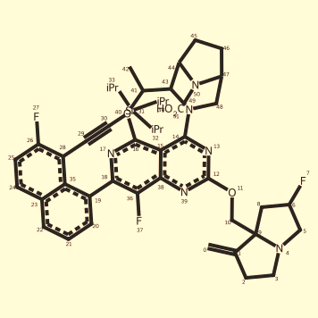 C=C1CCN2CC(F)CC12COc1nc2c3c(nc(-c4cccc5ccc(F)c(C#C[Si](C(C)C)(C(C)C)C(C)C)c45)c(F)c3n1)OC(C)C1C3CCC(CN21)N3C(=O)O